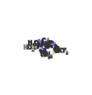 Cc1nc(C)c(-c2ccc3c(c2)CCN(Cc2cc(F)cc(C(F)(F)F)c2)C3)c(N2CCC(C)(C)CC2)c1CC(=O)O